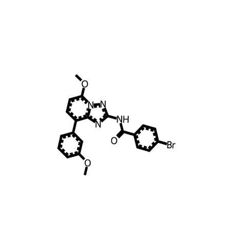 COc1cccc(-c2ccc(OC)n3nc(NC(=O)c4ccc(Br)cc4)nc23)c1